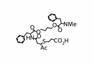 CNC(Cc1ccccc1)C(=O)OCCCCOC(=O)C(Cc1ccccc1)NC(=O)CC(SCCC(=O)O)C(C)=O